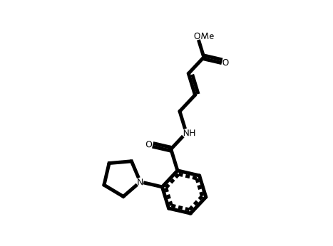 COC(=O)/C=C/CNC(=O)c1ccccc1N1CCCC1